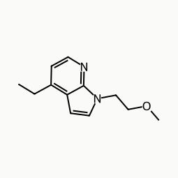 CCc1ccnc2c1ccn2CCOC